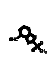 CS(=O)(=O)c1nc2cccc(C=O)c2s1